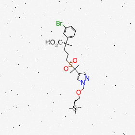 CC(CCCS(=O)(=O)C(C)(C)c1cnn(COCC[Si](C)(C)C)c1)(C(=O)O)c1cccc(Br)c1